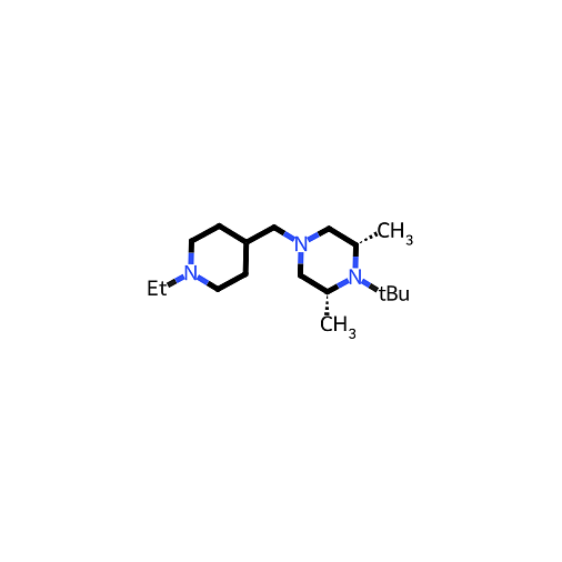 CCN1CCC(CN2C[C@@H](C)N(C(C)(C)C)[C@@H](C)C2)CC1